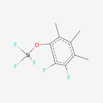 Cc1c(C)c(F)c(F)c(O[Si](F)(F)F)c1C